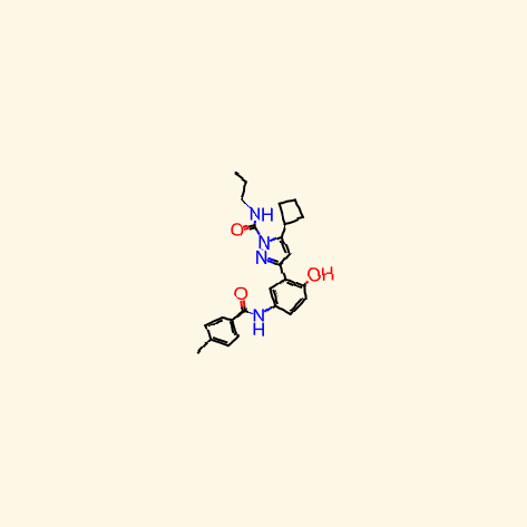 CCCNC(=O)n1nc(-c2cc(NC(=O)c3ccc(C)cc3)ccc2O)cc1C1CCC1